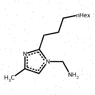 CCCCCCCCCc1nc(C)cn1CN